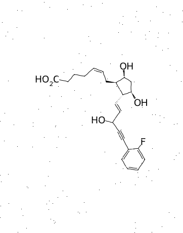 O=C(O)CCC/C=C\C[C@@H]1[C@@H](/C=C/C(O)C#Cc2ccccc2F)[C@H](O)C[C@@H]1O